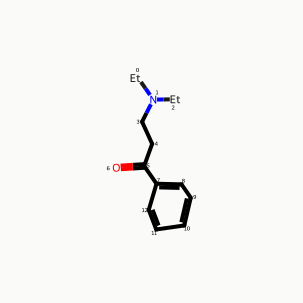 CCN(CC)CCC(=O)c1ccccc1